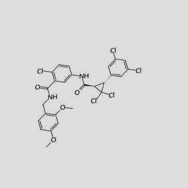 COc1ccc(CNC(=O)c2cc(NC(=O)[C@H]3[C@H](c4cc(Cl)cc(Cl)c4)C3(Cl)Cl)ccc2Cl)c(OC)c1